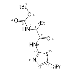 CCC(NC(=O)OC(C)(C)C)C(=O)Nc1ncc(C(C)C)s1